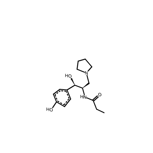 CCC(=O)N[C@H](CN1CCCC1)[C@H](O)c1ccc(O)cc1